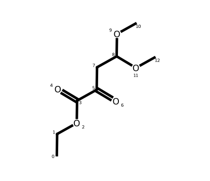 CCOC(=O)C(=O)CC(OC)OC